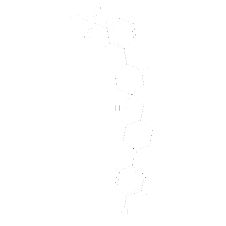 CS(=O)(=O)c1cccc(C2OCC(O)(CC3CCN(c4ncc(Cl)cn4)CC3)CO2)c1